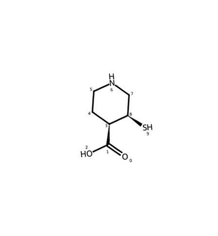 O=C(O)[C@H]1CCNC[C@H]1S